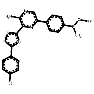 CCc1ccc(-c2nnc(-c3nc(-c4ccc(P(C)OC(C)C)cc4)cnc3N)o2)cc1